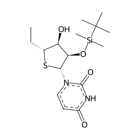 CC[C@H]1S[C@@H](n2ccc(=O)[nH]c2=O)[C@H](O[Si](C)(C)C(C)(C)C)[C@@H]1O